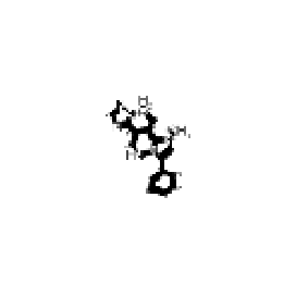 C=CC1=C2N(C)C=C(c3ccccc3)N2NC=C1c1ncn[nH]1